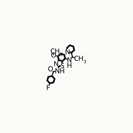 COc1ccc(NC(C)c2ccccn2)c2sc(NC(=O)c3ccc(F)cc3)nc12